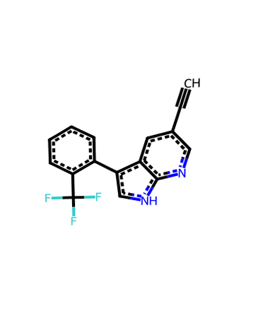 C#Cc1cnc2[nH]cc(-c3ccccc3C(F)(F)F)c2c1